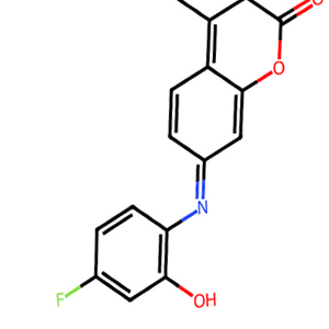 CC1=C2C=CC(=Nc3ccc(F)cc3O)C=C2OC(=O)C1